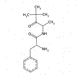 CC(NC(=O)C(N)Cc1ccccc1)C(=O)C(C)(C)C